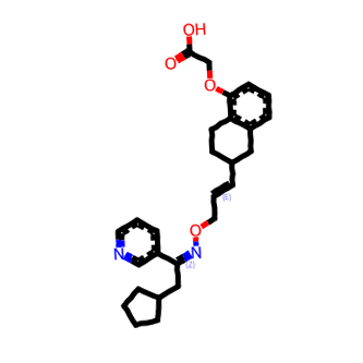 O=C(O)COc1cccc2c1CCC(/C=C/CO/N=C(/CC1CCCC1)c1cccnc1)C2